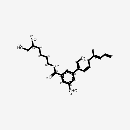 C=C/C=C(\C)C/C=C\C(=C/CC)c1cc(C=O)cc(C(=O)OCCCCC(CO)N=O)c1